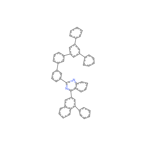 c1ccc(-c2cc(-c3ccccc3)cc(-c3cccc(-c4cccc(-c5nc(-c6cc(-c7ccccc7)c7ccccc7c6)c6ccccc6n5)c4)c3)c2)cc1